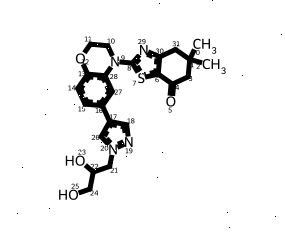 CC1(C)CC(=O)c2sc(N3CCOc4ccc(-c5cnn(CC(O)CO)c5)cc43)nc2C1